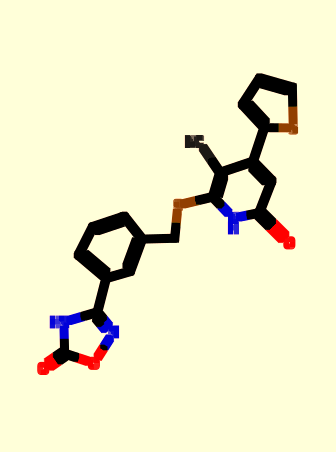 N#Cc1c(-c2cccs2)cc(=O)[nH]c1SCc1cccc(-c2noc(=O)[nH]2)c1